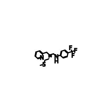 CSCC[C@@H](CNc1ccc(C(F)(F)F)cc1)Cc1ccccn1